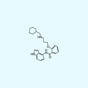 O=C(Nc1cccc2[nH]ccc12)c1ccccc1OCCCNCC1CCCCC1